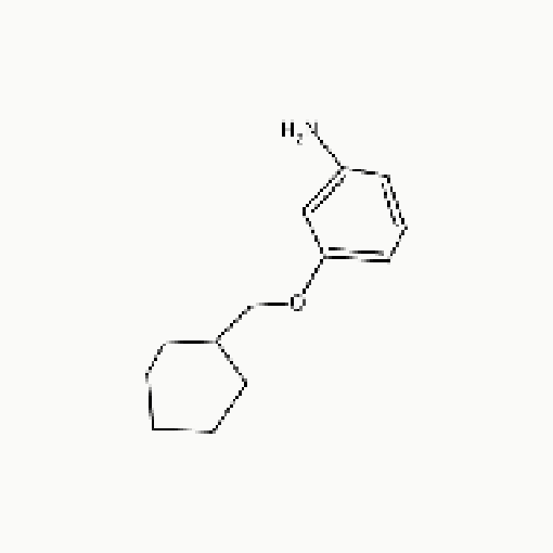 Nc1cccc(OCC2CCCCC2)c1